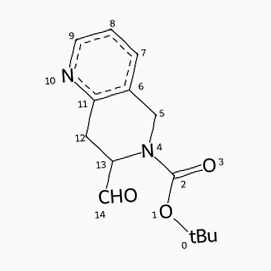 CC(C)(C)OC(=O)N1Cc2cccnc2CC1C=O